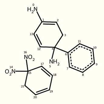 NC1=CCC(N)(c2ccccc2)C=C1.O=[N+]([O-])C1([N+](=O)[O-])C=CC=CC1